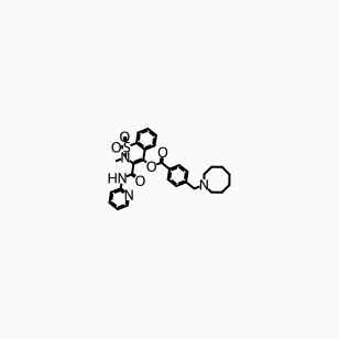 CN1C(C(=O)Nc2ccccn2)=C(OC(=O)c2ccc(CN3CCCCCCC3)cc2)c2ccccc2S1(=O)=O